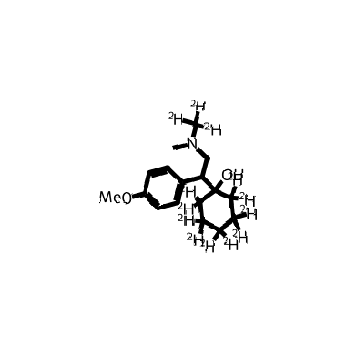 [2H]C([2H])([2H])N(C)CC(c1ccc(OC)cc1)C1(O)C([2H])([2H])C([2H])([2H])C([2H])([2H])C([2H])([2H])C1([2H])[2H]